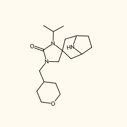 CC(C)N1C(=O)N(CC2CCOCC2)CC12CC1CCC(C2)N1